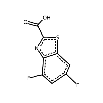 O=C(O)c1nc2c(F)cc(F)cc2s1